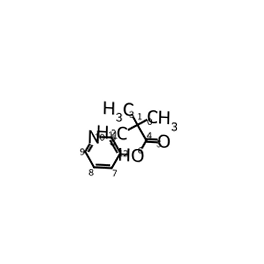 CC(C)(C)C(=O)O.c1ccncc1